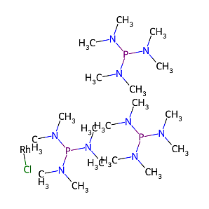 CN(C)P(N(C)C)N(C)C.CN(C)P(N(C)C)N(C)C.CN(C)P(N(C)C)N(C)C.[Cl][Rh]